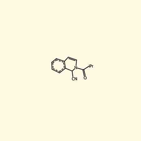 CC(C)C(=O)N1C=Cc2ccccc2C1C#N